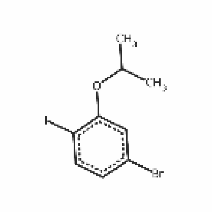 CC(C)Oc1cc(Br)ccc1I